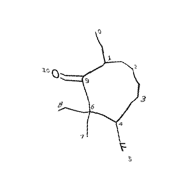 CC1CCC(F)C(C)(C)C1=O